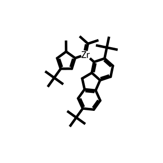 C[C](C)=[Zr]([C]1=CC(C(C)(C)C)=CC1C)[c]1c(C(C)(C)C)ccc2c1Cc1cc(C(C)(C)C)ccc1-2